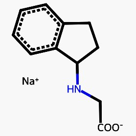 O=C([O-])CNC1CCc2ccccc21.[Na+]